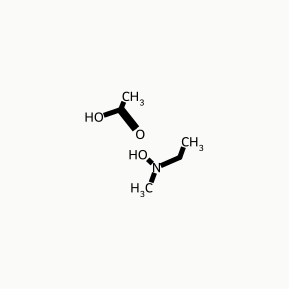 CC(=O)O.CCN(C)O